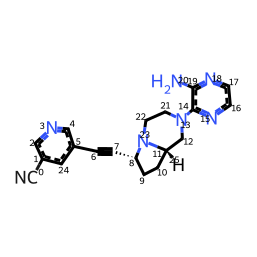 N#Cc1cncc(C#C[C@H]2CC[C@H]3CN(c4nccnc4N)CCN32)c1